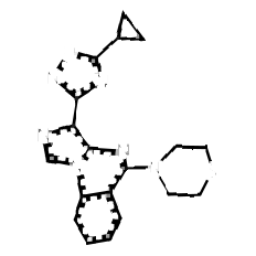 c1ccc2c(c1)c(N1CCSCC1)nc1c(-c3noc(C4CC4)n3)ncn12